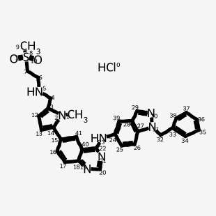 Cl.Cn1c(CNCCS(C)(=O)=O)ccc1-c1ccc2ncnc(Nc3ccc4c(cnn4Cc4ccccc4)c3)c2c1